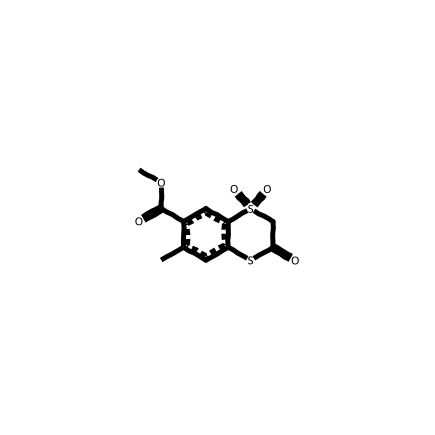 COC(=O)c1cc2c(cc1C)SC(=O)CS2(=O)=O